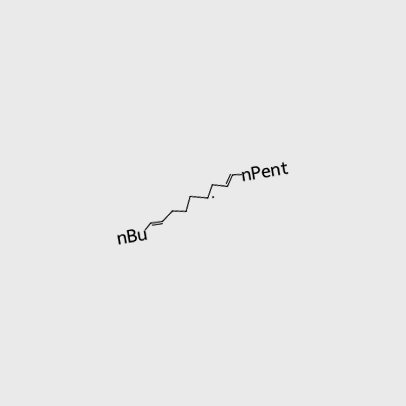 CCCCC=CCCC[CH]CC=CCCCCC